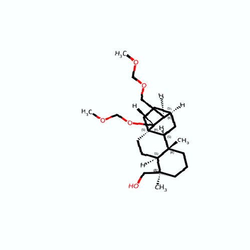 COCOC[C@H]1[C@H]2CC[C@@]3(CC[C@@H]4[C@](C)(CO)CCC[C@@]4(C)[C@@H]3C2)[C@@H]1OCOC